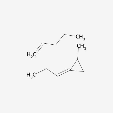 C=CCCC.CCC=C1CC1C